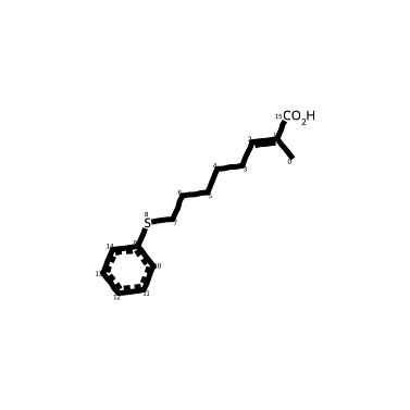 CC(=CCCCCCSc1ccccc1)C(=O)O